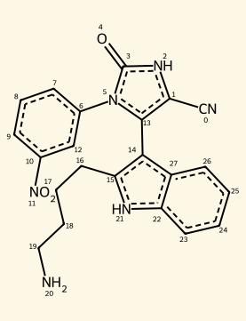 N#Cc1[nH]c(=O)n(-c2cccc([N+](=O)[O-])c2)c1-c1c(CCCCN)[nH]c2ccccc12